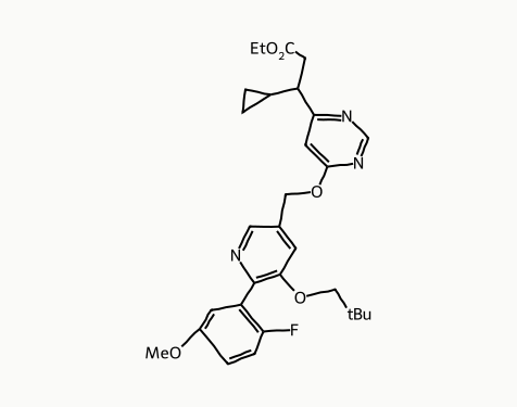 CCOC(=O)CC(c1cc(OCc2cnc(-c3cc(OC)ccc3F)c(OCC(C)(C)C)c2)ncn1)C1CC1